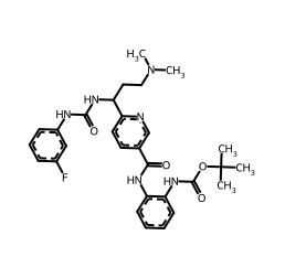 CN(C)CCC(NC(=O)Nc1cccc(F)c1)c1ccc(C(=O)Nc2ccccc2NC(=O)OC(C)(C)C)cn1